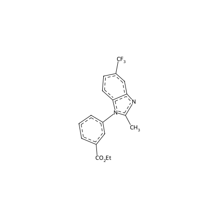 CCOC(=O)c1cccc(-n2c(C)nc3cc(C(F)(F)F)ccc32)c1